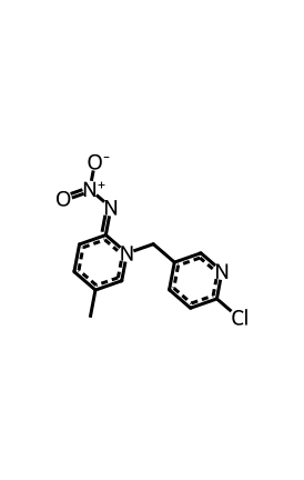 Cc1cc/c(=N\[N+](=O)[O-])n(Cc2ccc(Cl)nc2)c1